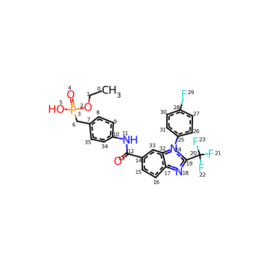 CCOP(=O)(O)Cc1ccc(NC(=O)c2ccc3nc(C(F)(F)F)n(-c4ccc(F)cc4)c3c2)cc1